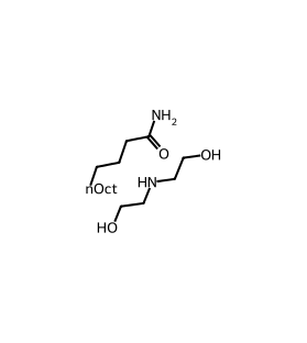 CCCCCCCCCCCC(N)=O.OCCNCCO